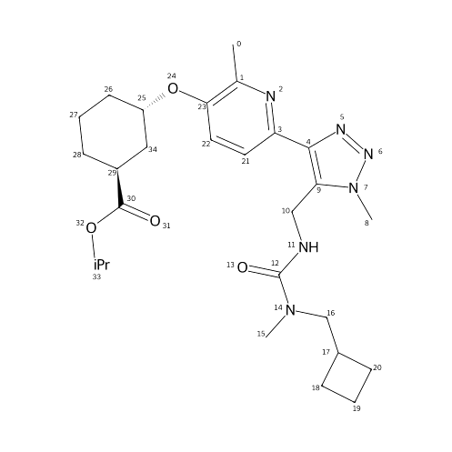 Cc1nc(-c2nnn(C)c2CNC(=O)N(C)CC2CCC2)ccc1O[C@H]1CCC[C@H](C(=O)OC(C)C)C1